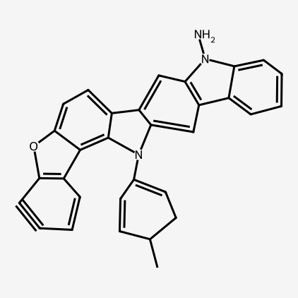 CC1C=CC(n2c3cc4c5ccccc5n(N)c4cc3c3ccc4oc5c#cccc5c4c32)=CC1